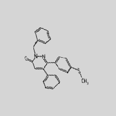 CSc1ccc(-c2nn(Cc3ccccc3)c(=O)cc2-c2ccccc2)cc1